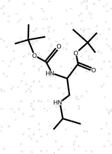 CC(C)NCC(NC(=O)OC(C)(C)C)C(=O)OC(C)(C)C